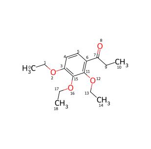 CCOc1ccc(C(=O)CC)c(OCC)c1OCC